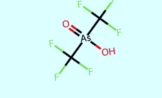 O=[As](O)(C(F)(F)F)C(F)(F)F